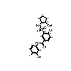 O=C(Nc1ccc(F)c(Br)c1)c1ccc(Cl)c(S(=O)(=O)NC2CCCC2O)c1